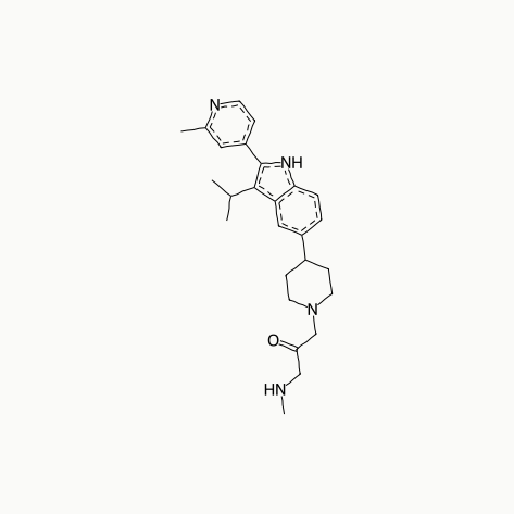 CNCC(=O)CN1CCC(c2ccc3[nH]c(-c4ccnc(C)c4)c(C(C)C)c3c2)CC1